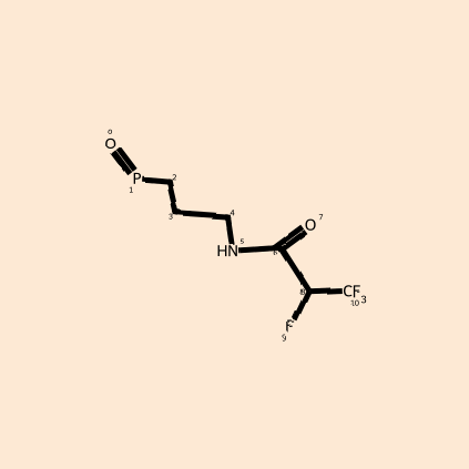 O=PCCCNC(=O)C(F)C(F)(F)F